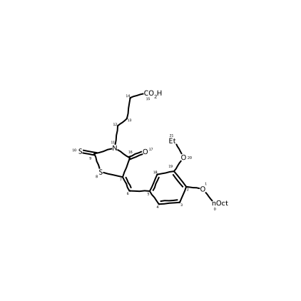 CCCCCCCCOc1ccc(/C=C2/SC(=S)N(CCCC(=O)O)C2=O)cc1OCC